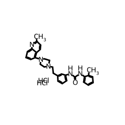 Cc1ccc2c(N3CCN(CCc4cccc(NC(=O)Nc5ccccc5C)c4)CC3)cccc2n1.Cl.Cl